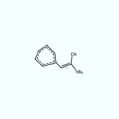 CCCC/C(C#N)=C/c1ccccc1